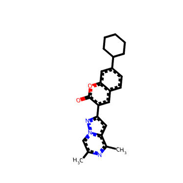 Cc1cn2nc(-c3cc4ccc(C5CCCCC5)cc4oc3=O)cc2c(C)n1